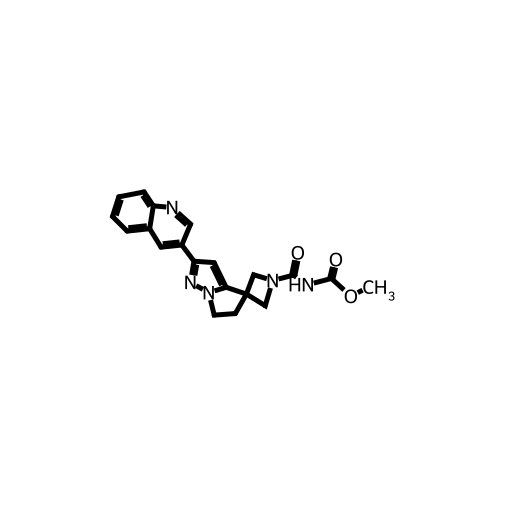 COC(=O)NC(=O)N1CC2(CCn3nc(-c4cnc5ccccc5c4)cc32)C1